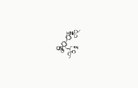 CCOC(=O)Nc1ccc(-c2ccc([N+](=O)[O-])c(/C=C(\CC#N)C(=O)OCC)c2)cc1